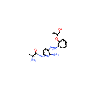 C=C(CO)Oc1ccccc1/N=N/c1ccc(NC(=O)[C@H](C)N)nc1N